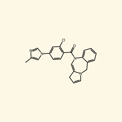 Cc1cn(-c2ccc(C(=O)N3C=C4CC=CN4Cc4ccccc43)c(Cl)c2)cn1